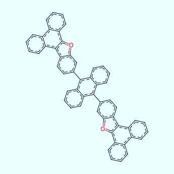 c1ccc2c(-c3ccc4c(c3)oc3c5ccccc5c5ccccc5c43)c3ccccc3c(-c3ccc4c(c3)oc3c5ccccc5c5ccccc5c43)c2c1